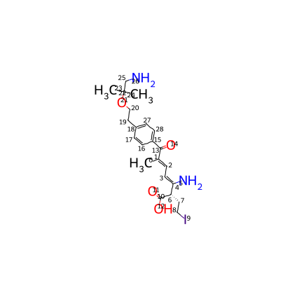 C/C(=C\C=C(/N)[C@H](CCI)C(=O)O)C(=O)c1ccc(CCOC(C)(C)CN)cc1